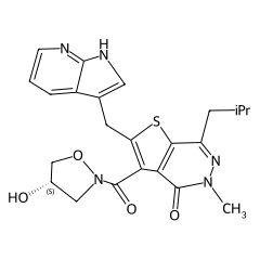 CC(C)Cc1nn(C)c(=O)c2c(C(=O)N3C[C@H](O)CO3)c(Cc3c[nH]c4ncccc34)sc12